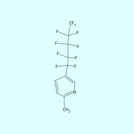 [CH2]c1ccc(C(F)(F)C(F)(F)C(F)(F)C(F)(F)C(F)(F)F)cn1